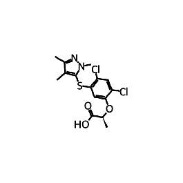 Cc1nn(C)c(Sc2cc(O[C@@H](C)C(=O)O)c(Cl)cc2Cl)c1C